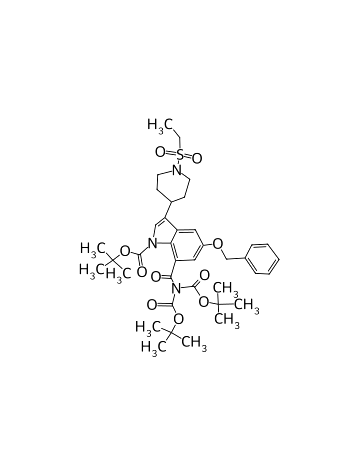 CCS(=O)(=O)N1CCC(c2cn(C(=O)OC(C)(C)C)c3c(C(=O)N(C(=O)OC(C)(C)C)C(=O)OC(C)(C)C)cc(OCc4ccccc4)cc23)CC1